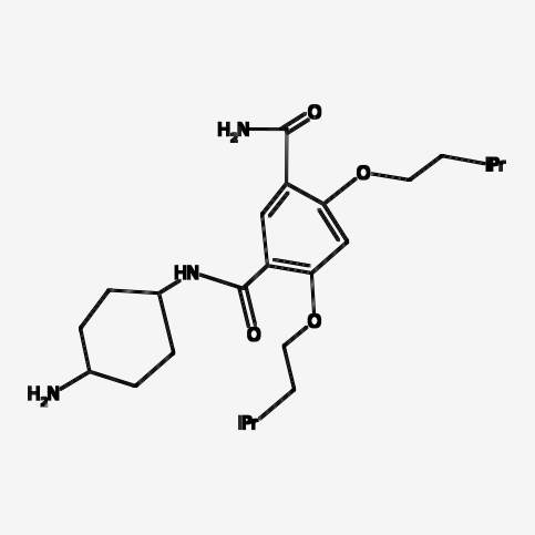 CC(C)CCOc1cc(OCCC(C)C)c(C(=O)NC2CCC(N)CC2)cc1C(N)=O